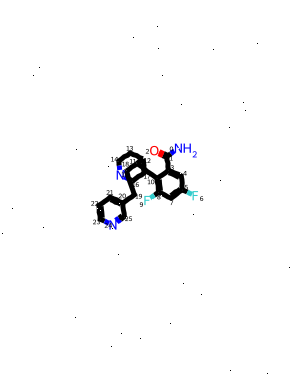 NC(=O)c1cc(F)cc(F)c1C1C2CCN(CC2)C1Cc1cccnc1